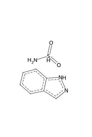 N[SH](=O)=O.c1ccc2[nH]ncc2c1